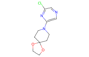 Clc1cncc(N2CCC3(CC2)OCCO3)n1